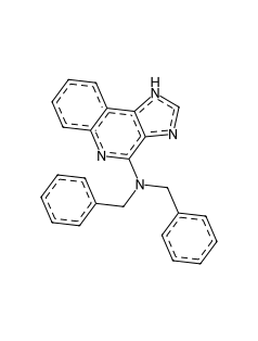 c1ccc(CN(Cc2ccccc2)c2nc3ccccc3c3[nH]cnc23)cc1